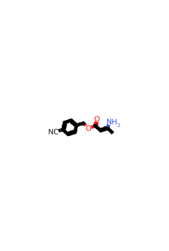 C/C(N)=C/C(=O)OCc1ccc(C#N)cc1